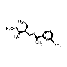 CC/C(C)=C(\CC)C/N=C(\C)c1cccc(N)n1